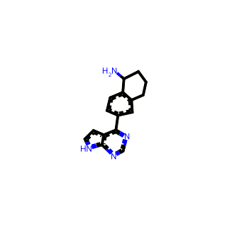 NC1CCCc2cc(-c3ncnc4[nH]ccc34)ccc21